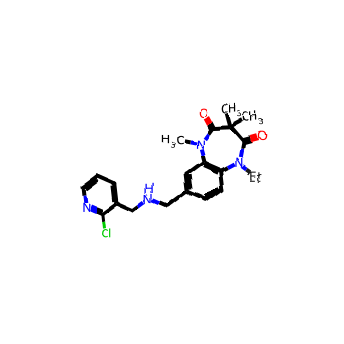 CCN1C(=O)C(C)(C)C(=O)N(C)c2cc(CNCc3cccnc3Cl)ccc21